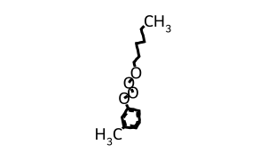 CCCCCCOOOOc1cccc(C)c1